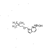 C[Si](C)(C)CCOCn1ccc2ccc(BO)nc21